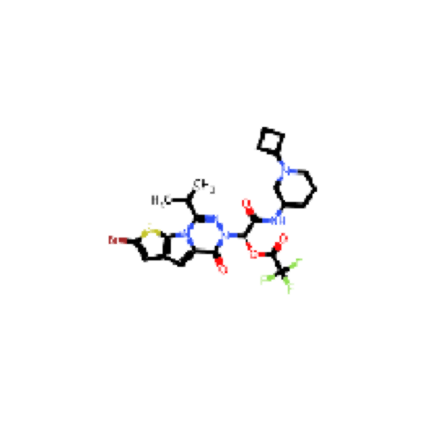 CC(C)c1nn([C@H](OC(=O)C(F)(F)F)C(=O)NC2CCCN(C3CCC3)C2)c(=O)c2cc3cc(Br)sc3n12